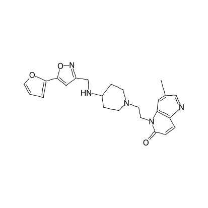 Cc1cnc2ccc(=O)n(CCN3CCC(NCc4cc(-c5ccco5)on4)CC3)c2c1